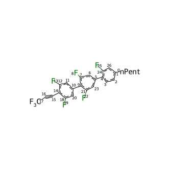 CCCCCc1ccc(-c2cc(F)c(-c3cc(F)c(C#CC(F)(F)F)c(F)c3)c(F)c2)c(F)c1